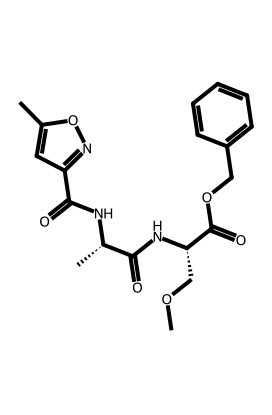 COC[C@H](NC(=O)[C@H](C)NC(=O)c1cc(C)on1)C(=O)OCc1ccccc1